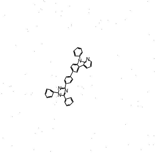 c1ccc(-c2nc(-c3ccccc3)nc(-c3ccc(-c4ccc5c(c4)c4cccnc4n5-c4ccccc4)cc3)n2)cc1